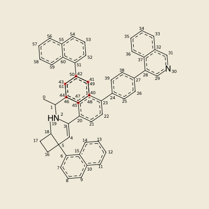 CC(N/C(=C\C1(c2cccc3ccccc23)CCC1C)c1ccc(-c2ccc(-c3cncc4ccccc34)cc2)c2ccccc12)c1cccc(-c2cccc3ccccc23)c1